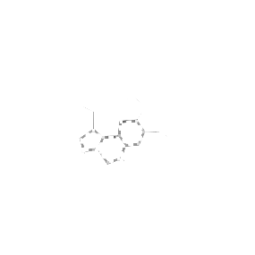 COc1cc2ncn3ncc(CO)c3c2cc1OC